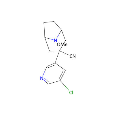 CON1C2CCC1CC(C#N)(c1cncc(Cl)c1)C2